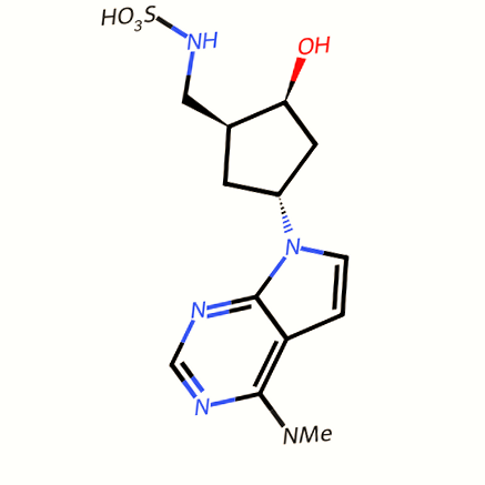 CNc1ncnc2c1ccn2[C@@H]1C[C@@H](CNS(=O)(=O)O)[C@@H](O)C1